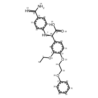 CCOc1cc([C@@H](Nc2ccc(C(=N)N)cc2)C(=O)O)ccc1OCCOc1ccccc1